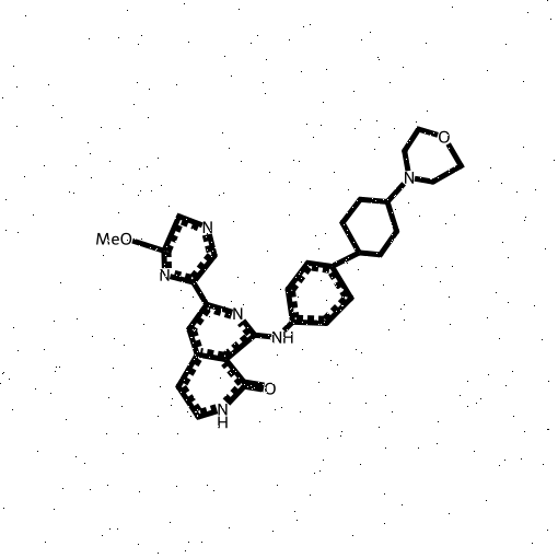 COc1cncc(-c2cc3cc[nH]c(=O)c3c(Nc3ccc(C4CCC(N5CCOCC5)CC4)cc3)n2)n1